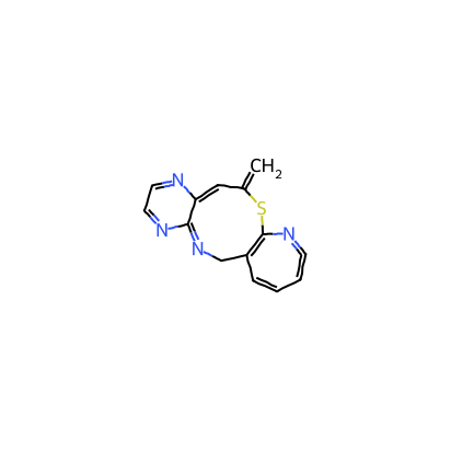 C=C1/C=c2/nccn/c2=N/CC2=C(N=C=CC=C2)S1